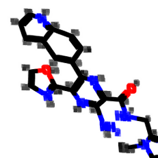 CCn1ccnc1CNC(=O)c1nc(-c2ccc3ncccc3c2)c(-c2ncco2)nc1N